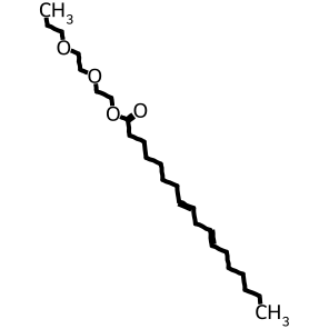 CCCCCC/C=C/C/C=C/CCCCCCC(=O)OCCOCCOCCC